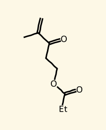 C=C(C)C(=O)CCOC(=O)CC